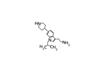 CC(C)Cn1cc(CCN)c2ccc(C3CCNCC3)cc21